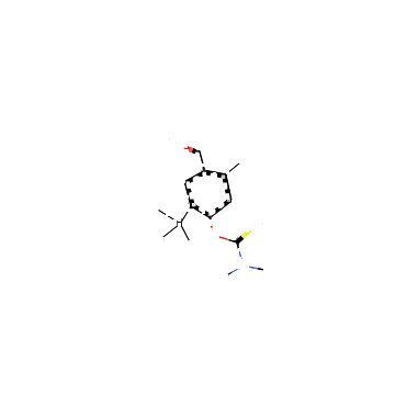 Cc1cc(OC(=S)N(C)C)c(C(C)(C)C)cc1C=O